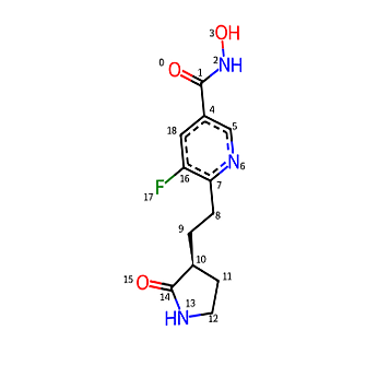 O=C(NO)c1cnc(CC[C@H]2CCNC2=O)c(F)c1